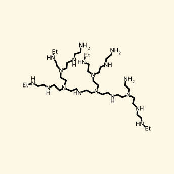 CCNCCNCCN(CCN)CCNCCN(CCNCCN(CCNCCNCC)CCN(CCNCC)CCNCCN)CCN(CCNCC)CCNCCN